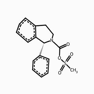 CS(=O)(=O)OC(=O)N1CCc2ccccc2[C@H]1c1ccccc1